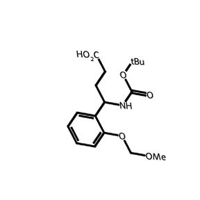 COCOc1ccccc1C(CCC(=O)O)NC(=O)OC(C)(C)C